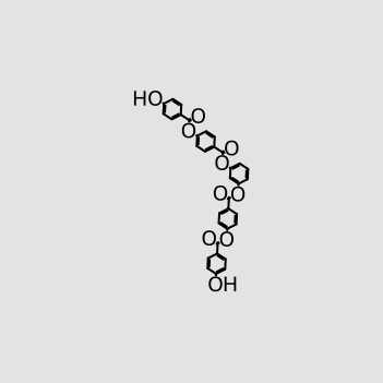 O=C(Oc1ccc(C(=O)Oc2cccc(OC(=O)c3ccc(OC(=O)c4ccc(O)cc4)cc3)c2)cc1)c1ccc(O)cc1